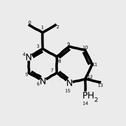 CC(C)c1ncnc2c1=CC=CC(C)(P)N=2